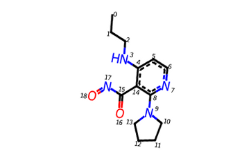 CCCNc1ccnc(N2CCCC2)c1C(=O)N=O